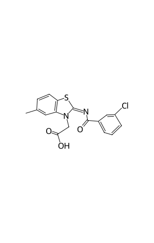 Cc1ccc2sc(=NC(=O)c3cccc(Cl)c3)n(CC(=O)O)c2c1